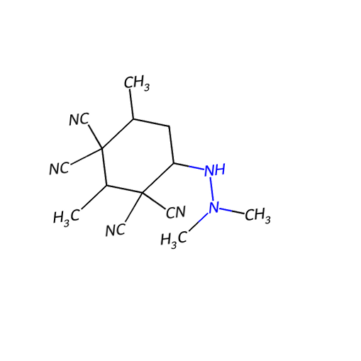 CC1CC(NN(C)C)C(C#N)(C#N)C(C)C1(C#N)C#N